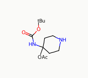 CC(=O)OC1(NC(=O)OC(C)(C)C)CCNCC1